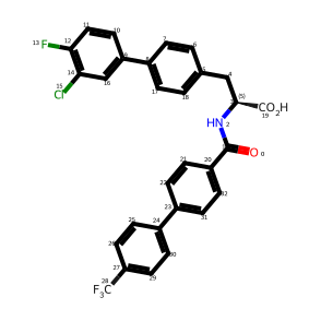 O=C(N[C@@H](Cc1ccc(-c2ccc(F)c(Cl)c2)cc1)C(=O)O)c1ccc(-c2ccc(C(F)(F)F)cc2)cc1